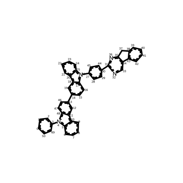 c1ccc(-n2c3ccccc3c3cc(-c4ccc5c(c4)c4ccccc4n5-c4ccc(-c5ncc6c(n5)Cc5ccccc5-6)cc4)ccc32)cc1